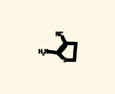 N#CC1=C(N)SCC1